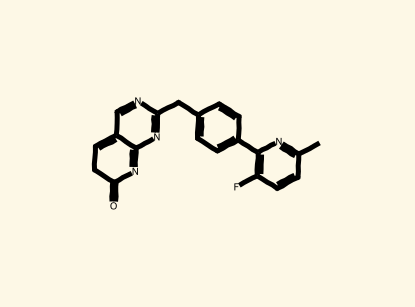 Cc1ccc(F)c(-c2ccc(Cc3ncc4c(n3)=NC(=O)CC=4)cc2)n1